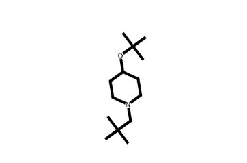 CC(C)(C)CN1CCC(OC(C)(C)C)CC1